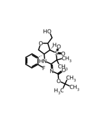 CC(C)(C)OC(=O)/N=C1/N[C@@]2(c3ccccc3F)COC(CO)[C@H]2S(=O)(=O)C1(C)C